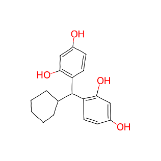 Oc1ccc(C(c2ccc(O)cc2O)C2CCCCC2)c(O)c1